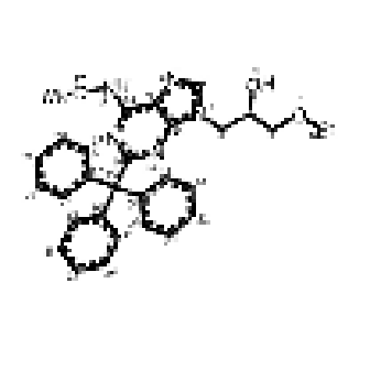 CCOC[C@H](O)Cn1cnc2c(NOC)nc(C(c3ccccc3)(c3ccccc3)c3ccccc3)nc21